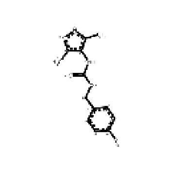 Cc1nsc(C)c1NC(=O)OCc1ccc(Cl)cc1